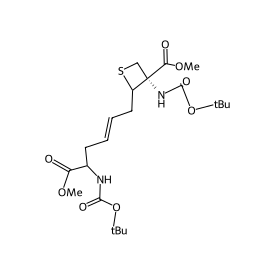 COC(=O)C(C/C=C/CC1SC[C@@]1(NC(=O)OC(C)(C)C)C(=O)OC)NC(=O)OC(C)(C)C